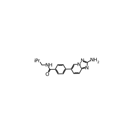 CC(C)CNC(=O)c1ccc(-c2ccc3nc(N)nn3c2)cc1